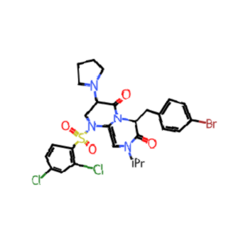 CC(C)N1C=C2N(C(=O)C(N3CCCC3)CN2S(=O)(=O)c2ccc(Cl)cc2Cl)C(Cc2ccc(Br)cc2)C1=O